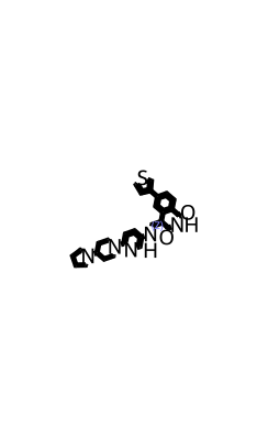 O=C1NC(=O)c2ccc(-c3ccsc3)cc2/C1=C/Nc1ccc(N2CCC(N3CCCC3)CC2)nc1